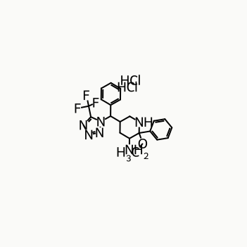 COC1(c2ccccc2)NCC(C(c2ccccc2)n2nnnc2C(F)(F)F)CC1N.Cl.Cl